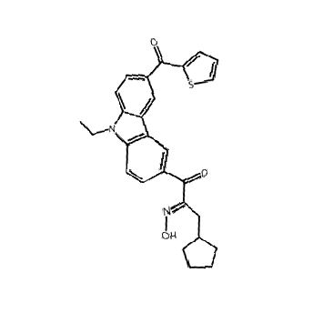 CCn1c2ccc(C(=O)C(CC3CCCC3)=NO)cc2c2cc(C(=O)c3cccs3)ccc21